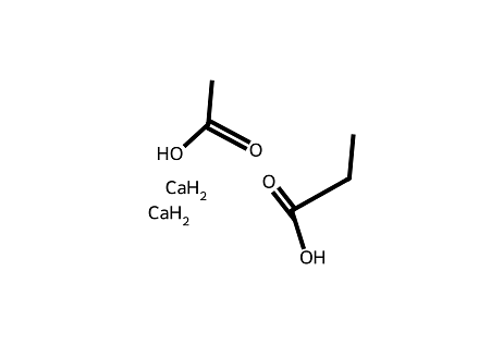 CC(=O)O.CCC(=O)O.[CaH2].[CaH2]